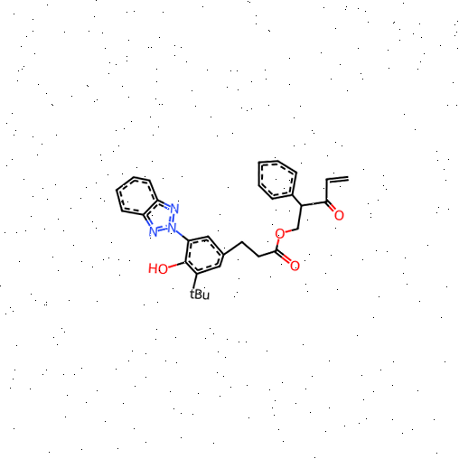 C=CC(=O)C(COC(=O)CCc1cc(-n2nc3ccccc3n2)c(O)c(C(C)(C)C)c1)c1ccccc1